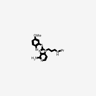 COc1ccc(Br)c(Sc2nc3c(N)nccc3n2CCCNC(C)C)c1